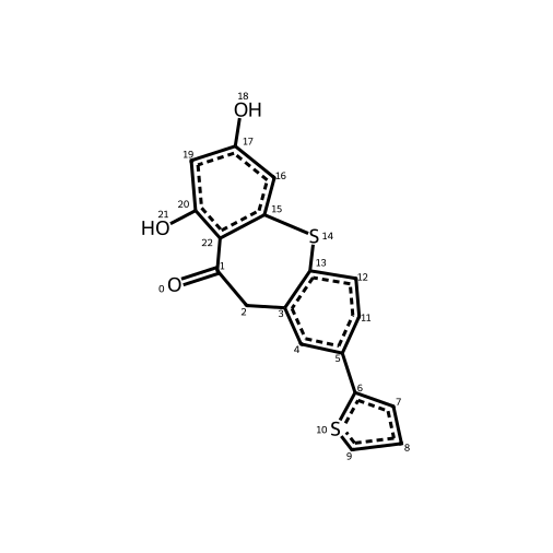 O=C1Cc2cc(-c3cccs3)ccc2Sc2cc(O)cc(O)c21